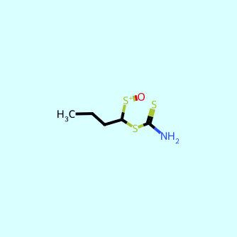 CCCC(SC(N)=S)[S+]=O